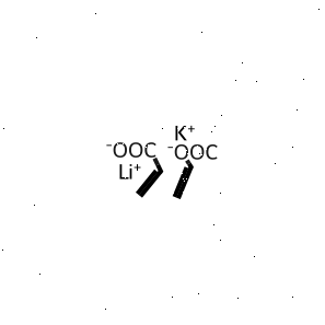 C=CC(=O)[O-].C=CC(=O)[O-].[K+].[Li+]